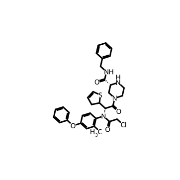 Cc1cc(Oc2ccccc2)ccc1N(C(=O)CCl)[C@@H](C(=O)N1CCN[C@@H](C(=O)NCc2ccccc2)C1)C1CC=CS1